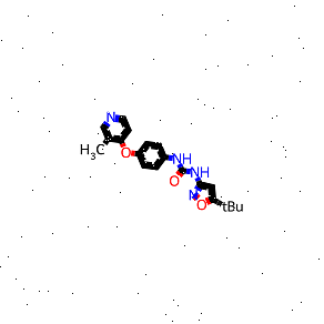 Cc1cnccc1Oc1ccc(NC(=O)Nc2cc(C(C)(C)C)on2)cc1